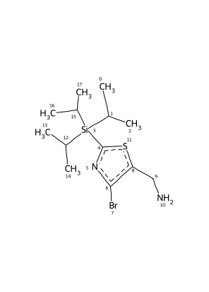 CC(C)[Si](c1nc(Br)c(CN)s1)(C(C)C)C(C)C